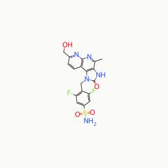 Cc1nc2nc(CO)ccc2c2c1[nH]c(=O)n2Cc1c(F)cc(S(N)(=O)=O)cc1F